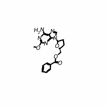 COc1nc(N)c2ncn(C3CC[C@@H](COC(=O)c4ccccc4)O3)c2n1